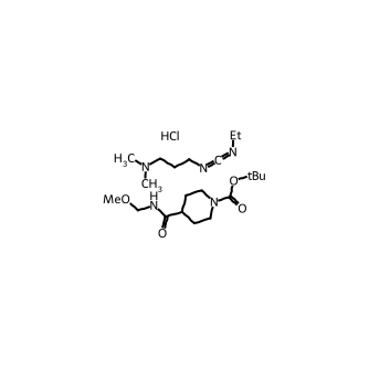 CCN=C=NCCCN(C)C.COCNC(=O)C1CCN(C(=O)OC(C)(C)C)CC1.Cl